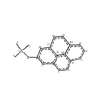 CS(C)(C)Cc1cc2ccc3cccc4ccc(c1)c2c34